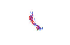 O=C1CCC(N2C(=O)c3cccc(NCCOCCOCCOCCN4CCN(c5ccc(-c6ccc7c(c6)C(=O)N(C(C(=O)NC6NC=CS6)c6ccccc6)C7)cc5)CC4)c3C2=O)C(=O)N1